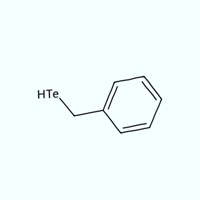 [TeH]Cc1ccccc1